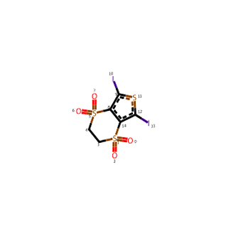 O=S1(=O)CCS(=O)(=O)c2c(I)sc(I)c21